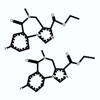 CCOC(=O)c1ncn2c1CN(C)C(=O)c1cc(F)ccc1-2.CCOC(=O)c1ncn2c1CN(C)C(=O)c1cc(F)ccc1-2